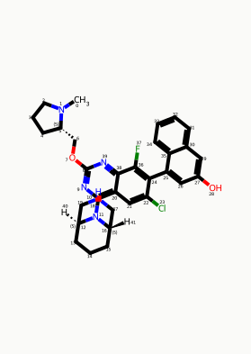 CN1CCC[C@H]1COc1nc(N2[C@H]3CCC[C@H]2CNC3)c2cc(Cl)c(-c3cc(O)cc4ccccc34)c(F)c2n1